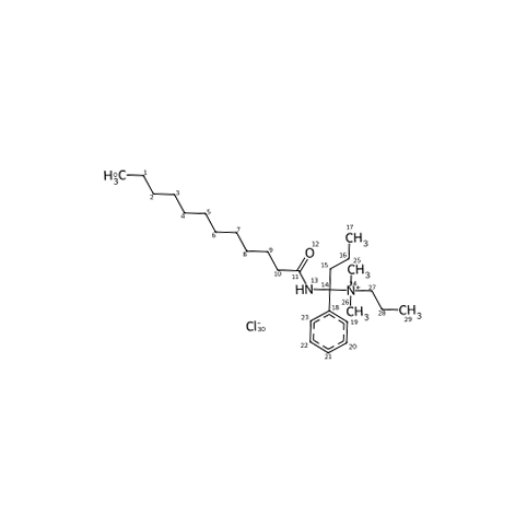 CCCCCCCCCCCC(=O)NC(CCC)(c1ccccc1)[N+](C)(C)CCC.[Cl-]